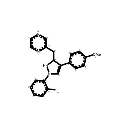 COc1ccc(C2=CN(c3ccccc3Cl)NC2Cc2cnccn2)cc1